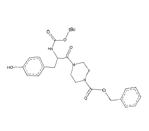 CC(C)(C)OC(=O)NC(Cc1ccc(O)cc1)C(=O)N1CCN(C(=O)OCc2ccccc2)CC1